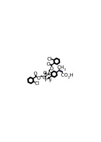 C/C(=C/C(=O)O)c1ccc(C(F)(F)P(=O)(OCOC(=O)c2ccccc2Cl)OCOC(=O)c2ccccc2Cl)cc1